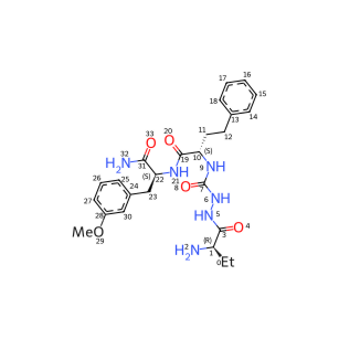 CC[C@@H](N)C(=O)NNC(=O)N[C@@H](CCc1ccccc1)C(=O)N[C@@H](Cc1cccc(OC)c1)C(N)=O